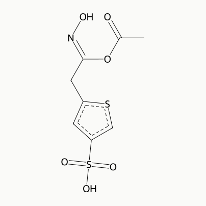 CC(=O)OC(Cc1cc(S(=O)(=O)O)cs1)=NO